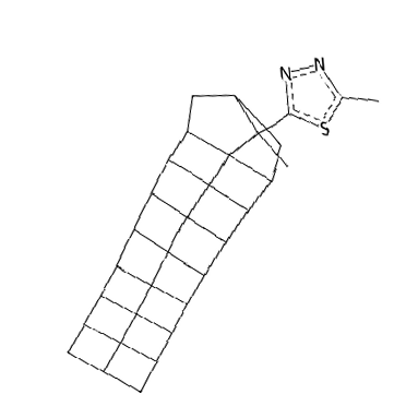 Cc1nnc(C2(C)C3CC4C5C6C7C8C9C%10CC%11CC%12C%13C%14C%15C%16C%17C(C3)C42C5%17C6%16C7%15C8%14C9%13C%11%10%12)s1